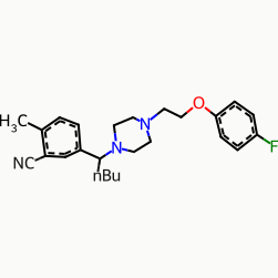 CCCCC(c1ccc(C)c(C#N)c1)N1CCN(CCOc2ccc(F)cc2)CC1